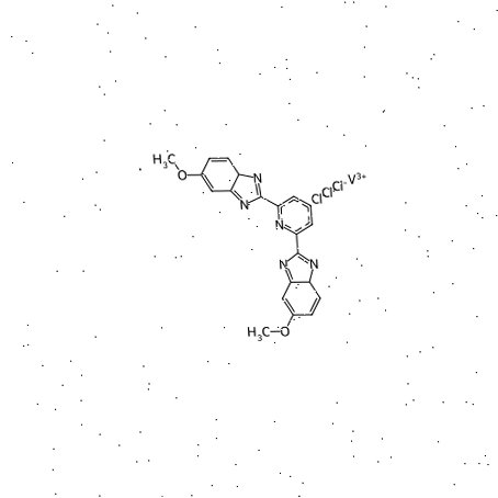 COC1=CC2=NC(c3cccc(C4=NC5C=CC(OC)=CC5=N4)n3)=NC2C=C1.[Cl-].[Cl-].[Cl-].[V+3]